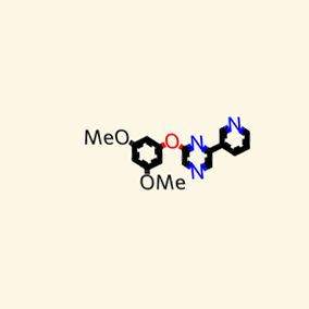 COc1cc(OC)cc(Oc2cncc(-c3cccnc3)n2)c1